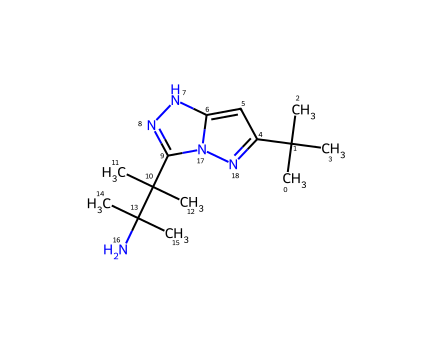 CC(C)(C)c1cc2[nH]nc(C(C)(C)C(C)(C)N)n2n1